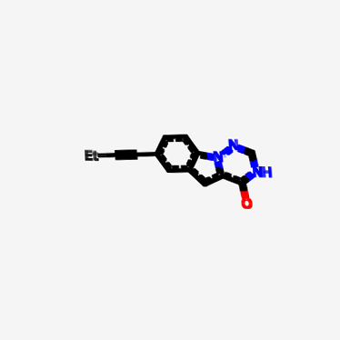 CCC#Cc1ccc2c(c1)cc1c(=O)[nH]cnn12